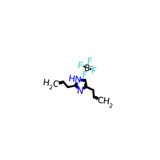 C=CCc1c[nH]c(CC=C)n1.F[B-](F)(F)F